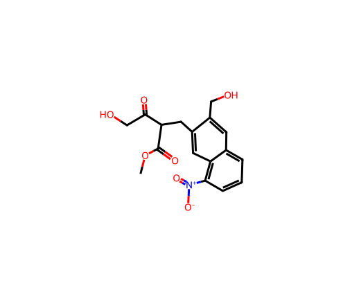 COC(=O)C(Cc1cc2c([N+](=O)[O-])cccc2cc1CO)C(=O)CO